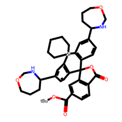 CC(C)(C)OC(=O)c1ccc2c(c1)C1(OC2=O)c2ccc(C3CCCOCN3)cc2[Si]2(CCCCC2)c2cc(C3CCCOCN3)ccc21